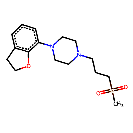 CS(=O)(=O)CCCN1CCN(c2cccc3c2OCC3)CC1